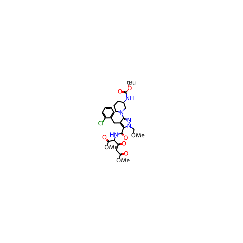 COCn1nc(N2CCC[C@@H](NC(=O)OC(C)(C)C)C2)c(Cc2ccccc2Cl)c1C(=O)NC(C(=O)CC(=O)OC)C(=O)OC